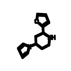 c1coc(C2CC(n3cccc3)CCN2)c1